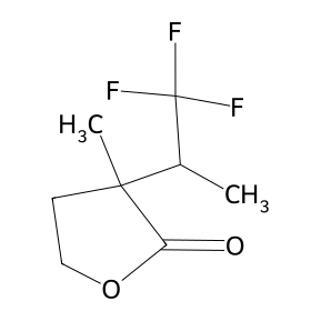 CC(C(F)(F)F)C1(C)CCOC1=O